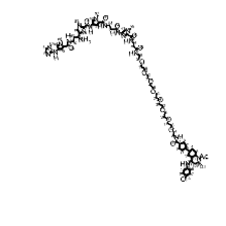 CC(=O)N1c2ccc(-c3ccc(C(=O)NCCOCCOCCOCCOCCOCCOCCOCCOCCNC(=O)CCNC(=O)c4nc(NC(=O)CCNC(=O)c5cc(NC(=O)c6nc(C(N)CCNC(=O)c7cc(Nc8nccn8C)cn7C)cn6C)cn5C)cn4C)cc3)cc2[C@H](Nc2ccc(Cl)cc2)C[C@@H]1C